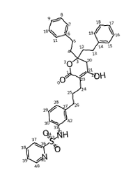 O=C1OC(CCc2ccccc2)(CCc2ccccc2)CC(O)=C1CCCc1cccc(NS(=O)(=O)c2ccccn2)c1